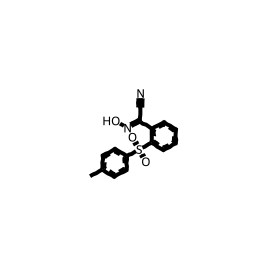 Cc1ccc(S(=O)(=O)c2ccccc2C(C#N)=NO)cc1